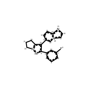 Fc1cccc(-c2nn3c(c2-c2ccc4nccn4c2)CCC3)c1